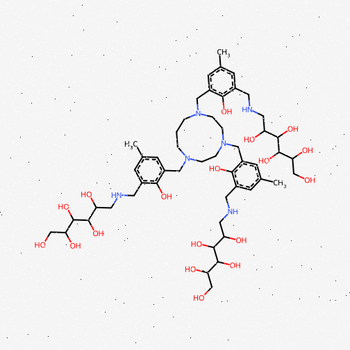 Cc1cc(CNCC(O)C(O)C(O)C(O)CO)c(O)c(CN2CCCN(Cc3cc(C)cc(CNCC(O)C(O)C(O)C(O)CO)c3O)CCN(Cc3cc(C)cc(CNCC(O)C(O)C(O)C(O)CO)c3O)CC2)c1